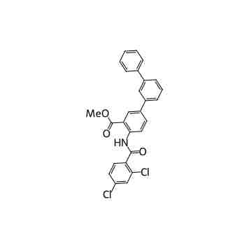 COC(=O)c1cc(-c2cccc(-c3ccccc3)c2)ccc1NC(=O)c1ccc(Cl)cc1Cl